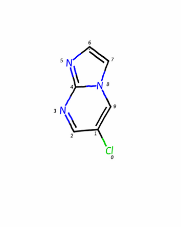 Clc1cnc2n[c]cn2c1